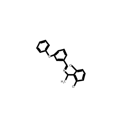 CC(/N=C/c1cccc(Oc2ccccc2)c1)c1c(Cl)cccc1Cl